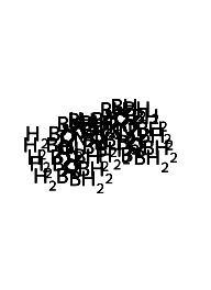 Bc1c(B)c(B)c(-c2nc3c(c(B)c2B)c(B)c(B)c2c(B)c(B)c(-c4c(B)c(B)c(B)c(-c5nc6c(c(B)c5B)c(B)c(B)c5c(B)c(B)c(-c7c(B)c(B)c(B)c(B)c7B)nc56)c4B)nc23)c(B)c1B